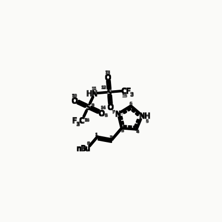 CCCCC=Cc1c[nH]cn1.O=S(=O)(NS(=O)(=O)C(F)(F)F)C(F)(F)F